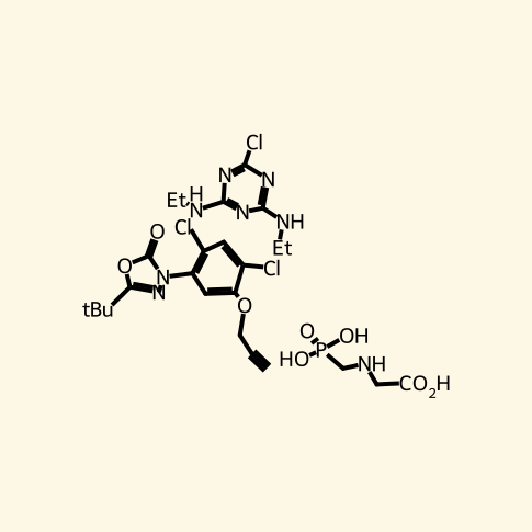 C#CCOc1cc(-n2nc(C(C)(C)C)oc2=O)c(Cl)cc1Cl.CCNc1nc(Cl)nc(NCC)n1.O=C(O)CNCP(=O)(O)O